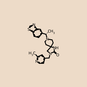 Cc1cc(CN2CC3(CCN([C@@H](C)c4ccc5scnc5c4)CC3)NC2=O)ccn1